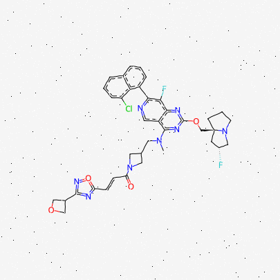 CN(CC1CN(C(=O)/C=C/c2nc(C3COC3)no2)C1)c1nc(OC[C@@]23CCCN2C[C@H](F)C3)nc2c(F)c(-c3cccc4cccc(Cl)c34)ncc12